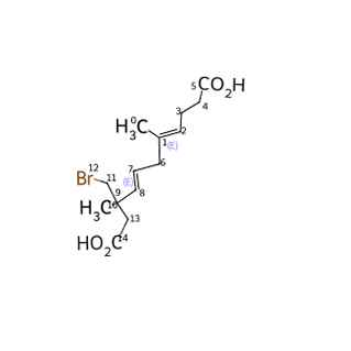 C/C(=C\CCC(=O)O)C/C=C/C(C)(CBr)CC(=O)O